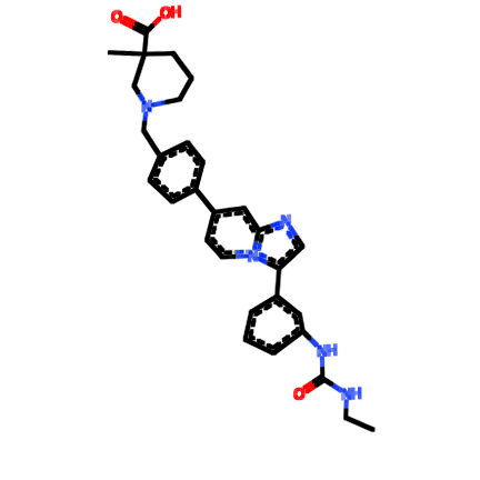 CCNC(=O)Nc1cccc(-c2cnc3cc(-c4ccc(CN5CCCC(C)(C(=O)O)C5)cc4)ccn23)c1